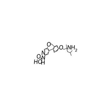 CC(C)CC(C)(N)COc1ccc2c(c1)COc1cnc(NC(=O)O)cc1-2